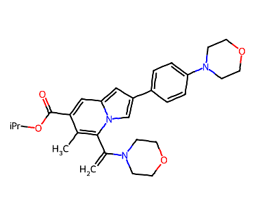 C=C(c1c(C)c(C(=O)OC(C)C)cc2cc(-c3ccc(N4CCOCC4)cc3)cn12)N1CCOCC1